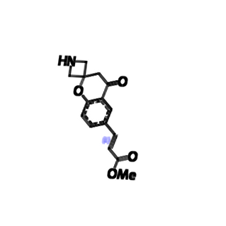 COC(=O)/C=C/c1ccc2c(c1)C(=O)CC1(CNC1)O2